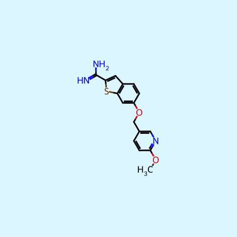 COc1ccc(COc2ccc3cc(C(=N)N)sc3c2)cn1